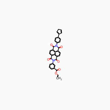 C=COC(=O)c1cccc(N2C(=O)c3ccc4c5c(ccc(c35)C2=O)C(=O)N(c2ccc(C3=CCC=C3)cc2)C4=O)c1